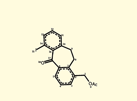 CC(=O)OCc1cccc2c1CCc1cccc(I)c1C2=O